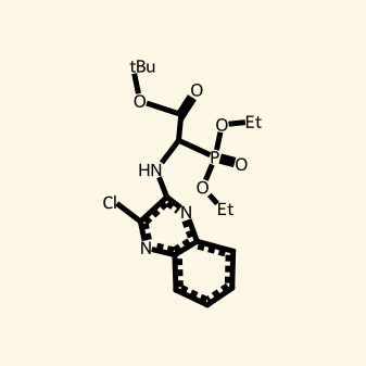 CCOP(=O)(OCC)C(Nc1nc2ccccc2nc1Cl)C(=O)OC(C)(C)C